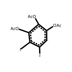 CC(=O)Oc1[c]c(I)c(I)c(OC(C)=O)c1OC(C)=O